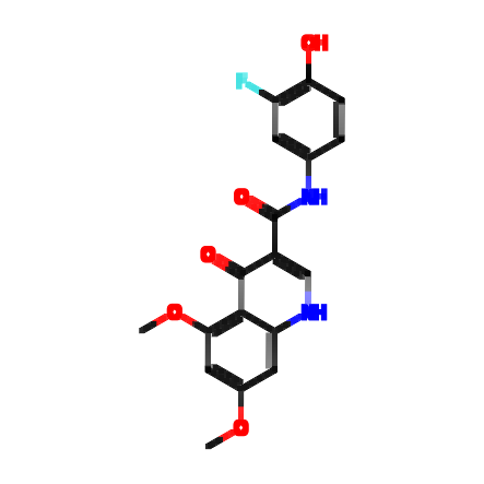 COc1cc(OC)c2c(=O)c(C(=O)Nc3ccc(O)c(F)c3)c[nH]c2c1